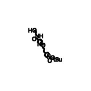 CC(C)(C)OC(=O)N1CCC(CCCOc2ccc(C(=O)NCCO)cn2)CC1